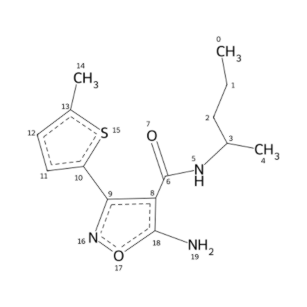 CCCC(C)NC(=O)c1c(-c2ccc(C)s2)noc1N